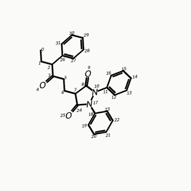 CCC(C(=O)CCC1C(=O)N(c2ccccc2)N(c2ccccc2)C1=O)c1ccccc1